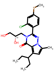 CCC(CC)c1cc(C)n2nc(-c3ccc(SC)cc3Cl)n(C[C@H](O)CO)c(=O)c12